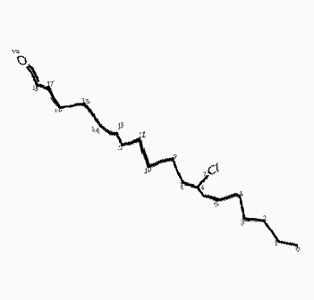 CCCCCCC(Cl)CCCCCCCCCC[C]=O